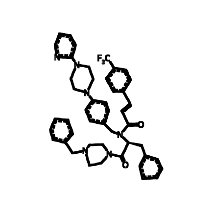 O=C([C@H](Cc1ccccc1)N(Cc1ccc(N2CCN(c3ccccn3)CC2)cc1)C(=O)/C=C/c1ccc(C(F)(F)F)cc1)N1CCN(Cc2ccccc2)CC1